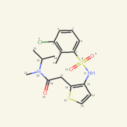 Cc1c(Cl)cccc1S(=O)(=O)Nc1ccsc1CC(=O)N(C)C(C)C